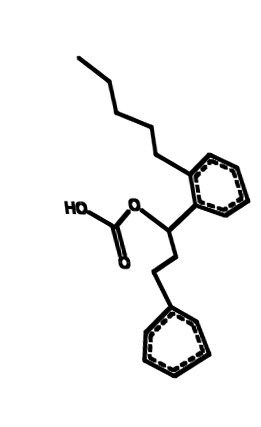 CCCCCc1ccccc1C(CCc1ccccc1)OC(=O)O